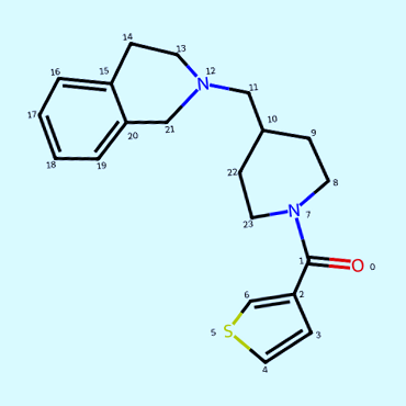 O=C(c1ccsc1)N1CCC(CN2CCc3ccccc3C2)CC1